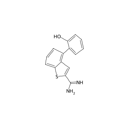 N=C(N)c1cc2c(-c3ccccc3O)cccc2s1